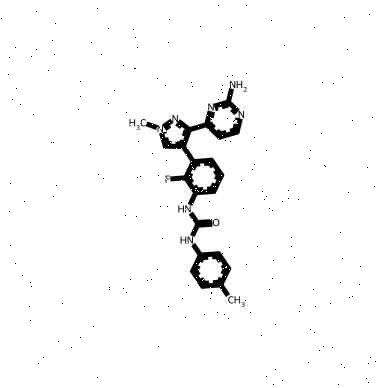 Cc1ccc(NC(=O)Nc2cccc(-c3cn(C)nc3-c3ccnc(N)n3)c2F)cc1